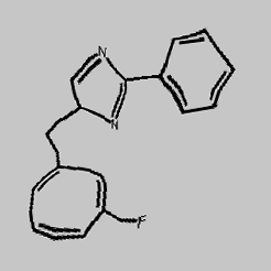 Fc1cccc(CC2C=NC(c3ccccc3)=N2)c1